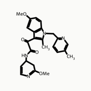 COC1=NC=CC(NC(=O)C(=O)c2c(C)n(Cc3ccc(C)cn3)c3ccc(OC)cc23)C1